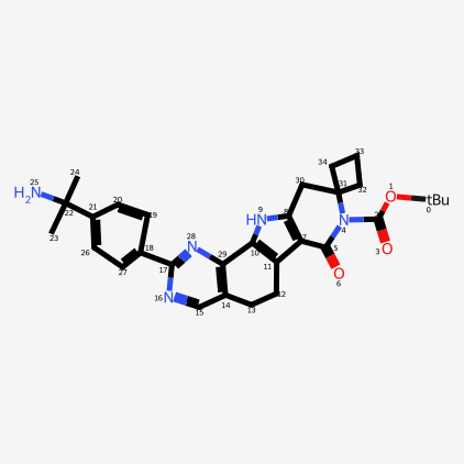 CC(C)(C)OC(=O)N1C(=O)c2c([nH]c3c2CCc2cnc(-c4ccc(C(C)(C)N)cc4)nc2-3)CC12CCC2